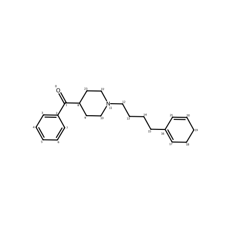 O=C(c1ccccc1)C1CCN(CCCCC2=CCCC=C2)CC1